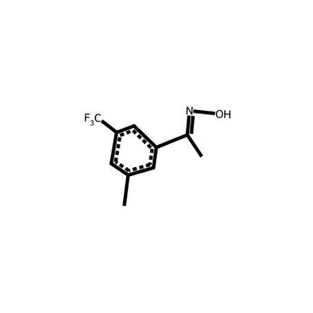 CC(=NO)c1cc(C)cc(C(F)(F)F)c1